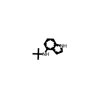 CC(C)(C)Nc1cccc2[nH]ccc12